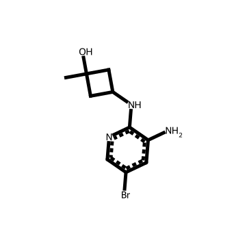 CC1(O)CC(Nc2ncc(Br)cc2N)C1